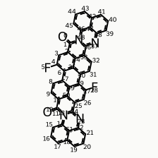 O=c1c2cc(F)c3c4ccc5c(=O)n6c7cccc8cccc(nc6c6cc(F)c(c9ccc(c2c93)c2nc3cccc9cccc(c93)n12)c4c56)c87